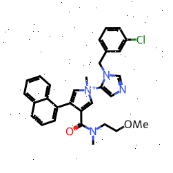 COCCN(C)C(=O)C1=C[N+](C)(c2cncn2Cc2cccc(Cl)c2)C=C1c1cccc2ccccc12